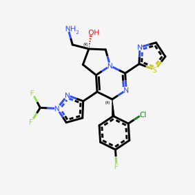 NC[C@]1(O)CC2=C(c3ccn(C(F)F)n3)[C@H](c3ccc(F)cc3Cl)N=C(c3nccs3)N2C1